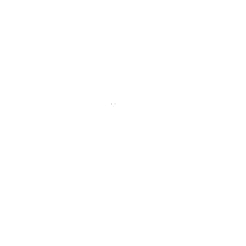 CO[C]1CCCC1C(F)(F)F